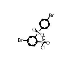 O=S(=O)(Cl)c1ccc(Br)cc1S(=O)(=O)c1ccc(Br)cc1